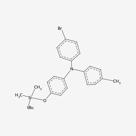 Cc1ccc(N(c2ccc(Br)cc2)c2ccc(O[Si](C)(C)C(C)(C)C)cc2)cc1